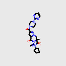 CCN1C(=O)c2cc(C(=O)N3CCN(c4ncccn4)CC3)nn2CC1(C)C(=O)NC1CCCC1